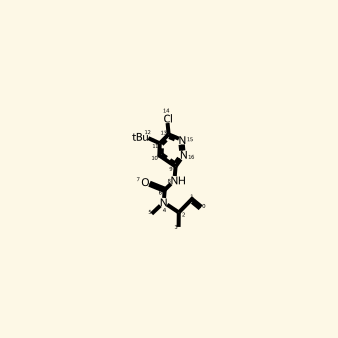 C=CC(C)N(C)C(=O)Nc1cc(C(C)(C)C)c(Cl)nn1